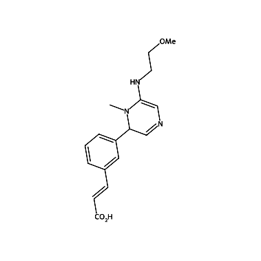 COCCNC1=CN=CC(c2cccc(/C=C/C(=O)O)c2)N1C